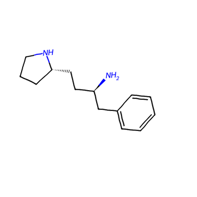 N[C@H](CC[C@@H]1CCCN1)Cc1ccccc1